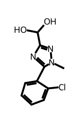 Cn1nc(C(O)O)nc1-c1ccccc1Cl